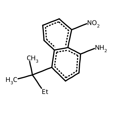 CCC(C)(C)c1ccc(N)c2c([N+](=O)[O-])cccc12